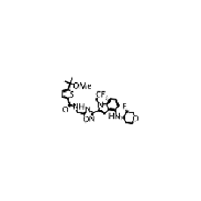 COC(C)(C)c1ccc(C(=O)NCc2nc(-c3cc4c(N[C@@H]5CCOC[C@@H]5F)cccc4n3CC(F)(F)F)no2)s1